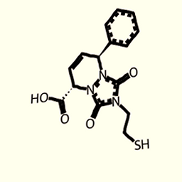 O=C(O)[C@@H]1C=C[C@@H](c2ccccc2)n2c(=O)n(CCS)c(=O)n21